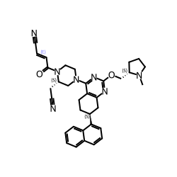 CN1CCC[C@H]1COc1nc2c(c(N3CCN(C(=O)/C=C/C#N)[C@@H](CC#N)C3)n1)CC[C@H](c1cccc3ccccc13)C2